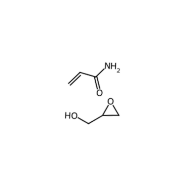 C=CC(N)=O.OCC1CO1